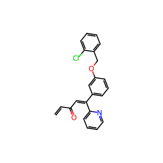 C=CC(=O)C=C(c1cccc(OCc2ccccc2Cl)c1)c1ccccn1